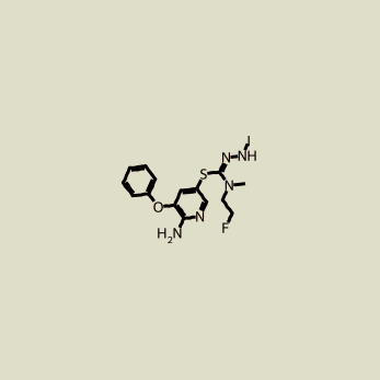 CN(CCF)/C(=N\NI)Sc1cnc(N)c(Oc2ccccc2)c1